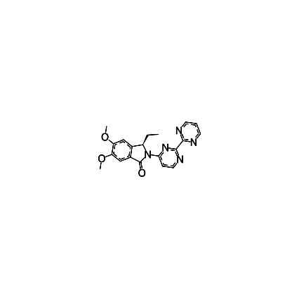 CC[C@@H]1c2cc(OC)c(OC)cc2C(=O)N1c1ccnc(-c2ncccn2)n1